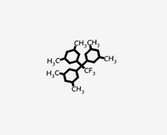 CC1CC(C)CC(C(C2CC(C)CC(C)C2)(C2CC(C)CC(C)C2)C(F)(F)F)C1